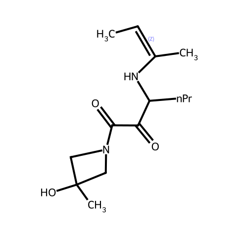 C/C=C(/C)NC(CCC)C(=O)C(=O)N1CC(C)(O)C1